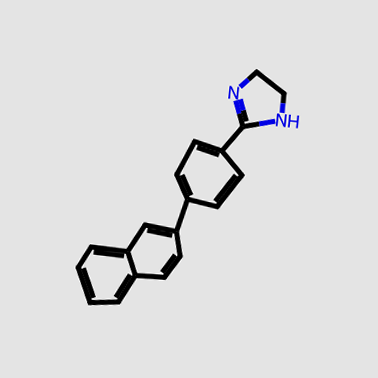 c1ccc2cc(-c3ccc(C4=NCCN4)cc3)ccc2c1